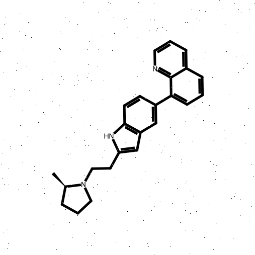 C[C@@H]1CCCN1CCc1cc2cc(-c3cccc4cccnc34)ccc2[nH]1